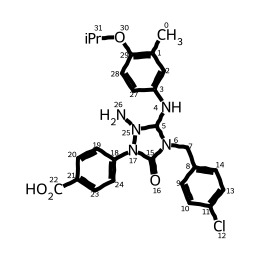 Cc1cc(NC2N(Cc3ccc(Cl)cc3)C(=O)N(c3ccc(C(=O)O)cc3)N2N)ccc1OC(C)C